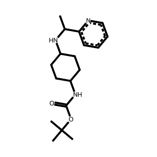 CC(NC1CCC(NC(=O)OC(C)(C)C)CC1)c1ccccn1